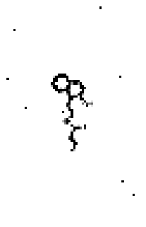 CC=CC(=O)NCCc1c(O)ccc2ccccc12